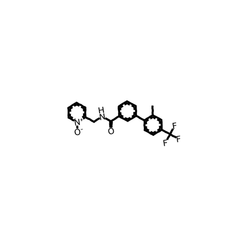 Cc1cc(C(F)(F)F)ccc1-c1cccc(C(=O)NCc2cccc[n+]2[O-])c1